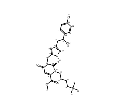 COC(=O)c1cc(=O)n(Cc2nc(CC(O)c3ccc(Cl)cc3)no2)c(=O)n1COCC[Si](C)(C)C